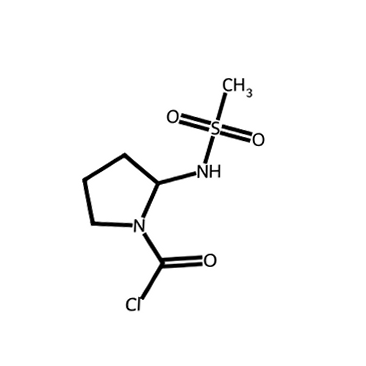 CS(=O)(=O)NC1CCCN1C(=O)Cl